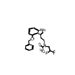 O=C(O)N(CCc1c[nH]c2cccc(OCc3ccccc3)c12)CC(F)F